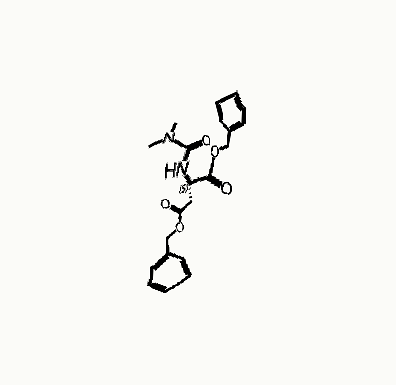 CN(C)C(=O)N[C@@H](CC(=O)OCc1ccccc1)C(=O)OCc1ccccc1